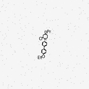 CCC[C@H]1CC[C@H](c2ccc(-c3ccc(OCC)cc3)cc2)C(=O)C1